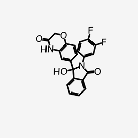 O=C1COc2ccc(C3(O)c4ccccc4C(=O)N3c3ccc(F)c(F)c3)cc2N1